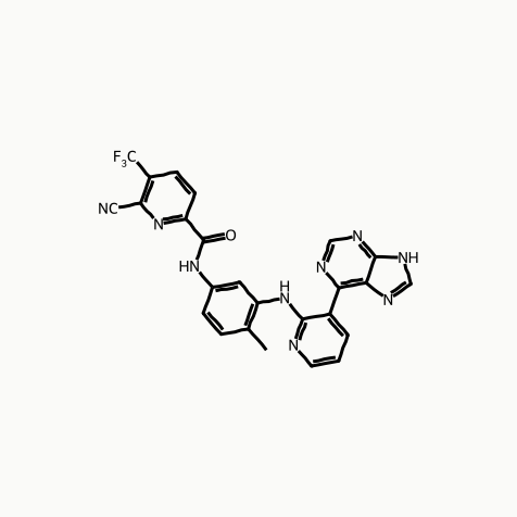 Cc1ccc(NC(=O)c2ccc(C(F)(F)F)c(C#N)n2)cc1Nc1ncccc1-c1ncnc2[nH]cnc12